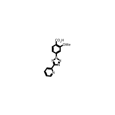 COc1cc(-n2nnc(-c3ccccn3)n2)ccc1C(=O)O